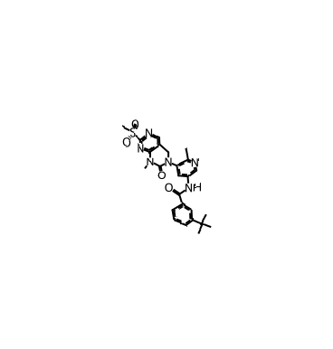 Cc1ncc(NC(=O)c2cccc(C(C)(C)C)c2)cc1N1Cc2cnc(S(C)(=O)=O)nc2N(C)C1=O